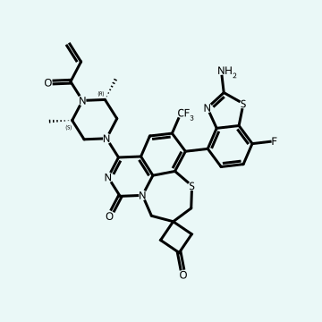 C=CC(=O)N1[C@H](C)CN(c2nc(=O)n3c4c(c(-c5ccc(F)c6sc(N)nc56)c(C(F)(F)F)cc24)SCC2(CC(=O)C2)C3)C[C@@H]1C